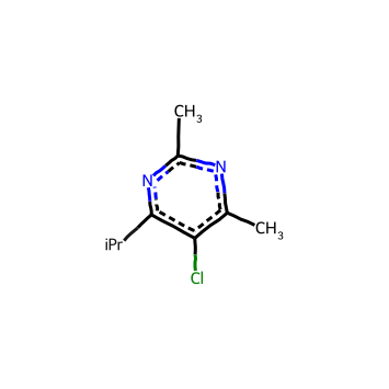 Cc1nc(C)c(Cl)c(C(C)C)n1